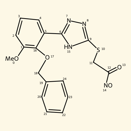 COc1cccc(-c2nnc(SCC(=O)N=O)[nH]2)c1OCc1ccccc1